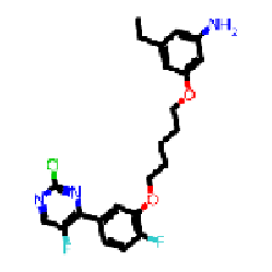 CCc1cc(N)cc(OCCCCCOc2cc(-c3nc(Cl)ncc3F)ccc2F)c1